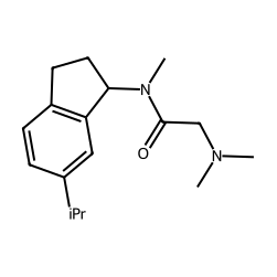 CC(C)c1ccc2c(c1)C(N(C)C(=O)CN(C)C)CC2